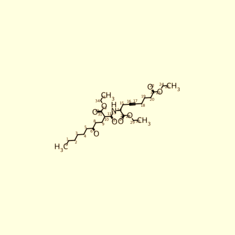 CCCCCCC(=O)CCC(C(=O)NC(CC#CCCCC(=O)OCC)C(=O)OCC)C(=O)OCC